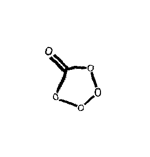 O=C1OOOO1